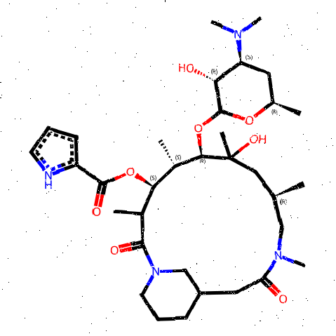 CC1C(=O)N2CCCC(CC(=O)N(C)C[C@H](C)CC(C)(O)[C@H](OC3O[C@H](C)C[C@H](N(C)C)[C@H]3O)[C@@H](C)[C@@H]1OC(=O)c1ccc[nH]1)C2